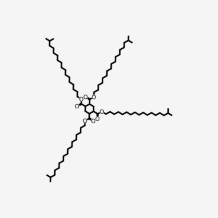 CC(C)CCCCCCCCCCCCCCCOC(=O)C1CC(C(=O)OCCCCCCCCCCCCCCCC(C)C)C(C(=O)OCCCCCCCCCCCCCCCC(C)C)CC1C(=O)OCCCCCCCCCCCCCCCC(C)C